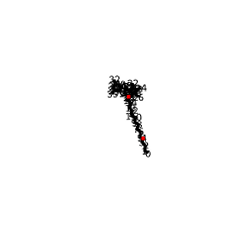 CCCCCCCCCCCCCCCCCC[Si](C)(C1=C(C)C(C)=C(C)C1C)c1cc(C)cc(C)c1